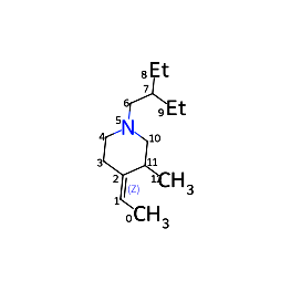 C/C=C1/CCN(CC(CC)CC)CC1C